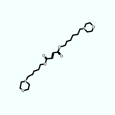 O=C(/C=C/C(=O)OCCCCCN1CCOCC1)OCCCCCCN1CCOCC1